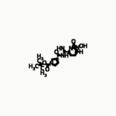 CC(C)(C)OC(=O)N1CC[C@@H](C(=O)NC(=N)[C@@H]2CC[C@@H]3CN2C(=O)N3O)C1